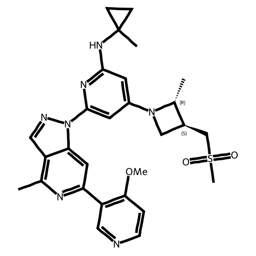 COc1ccncc1-c1cc2c(cnn2-c2cc(N3C[C@H](CS(C)(=O)=O)[C@H]3C)cc(NC3(C)CC3)n2)c(C)n1